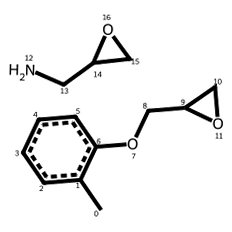 Cc1ccccc1OCC1CO1.NCC1CO1